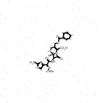 CON=C(C(=O)NC1C(=O)N2C(C(=O)O)=C(COC(=O)c3ccccc3)CS[C@@H]12)c1csc(N)n1